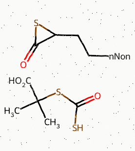 CC(C)(SC(=O)S)C(=O)O.CCCCCCCCCCCC1SC1=O